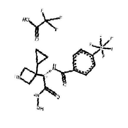 O=C(N[C@H](C(=O)NO)C1(C2CC2)CNC1)c1ccc(S(F)(F)(F)(F)F)cc1.O=C(O)C(F)(F)F